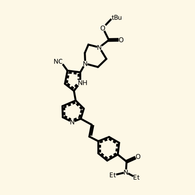 CCN(CC)C(=O)c1ccc(C=Cc2cc(-c3cc(C#N)c(N4CCN(C(=O)OC(C)(C)C)CC4)[nH]3)ccn2)cc1